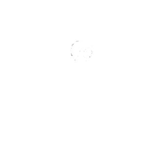 Ic1ccc([C]23[CH]4[CH]5[CH]6[CH]2[Fe]56432789[CH]3[CH]2[CH]7[CH]8[CH]39)cc1